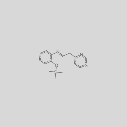 C[Si](C)(C)Oc1ccccc1N=CCc1ccncn1